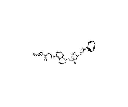 COC(=O)COc1cccc2c(CCS(=O)(=O)CC(O)COc3ccccc3)cccc12